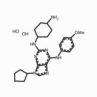 COc1ccc(Nc2nc(NC3CCC(N)CC3)nc3c2ncn3C2CCCC2)cc1.Cl.Cl